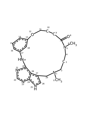 CN1CCCN(C)C(=O)CCCOc2cccc(c2)Nc2ncnc3[nH]cc(c23)C1